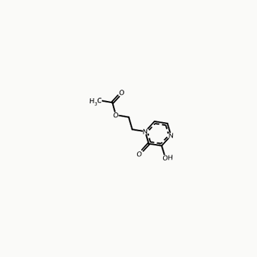 CC(=O)OCCn1ccnc(O)c1=O